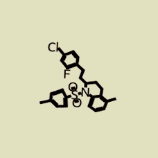 Cc1ccc(S(=O)(=O)N2c3cccc(C)c3CCC2CCc2ccc(Cl)cc2F)cc1